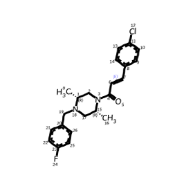 C[C@@H]1CN(C(=O)/C=C/c2ccc(Cl)cc2)[C@H](C)CN1Cc1ccc(F)cc1